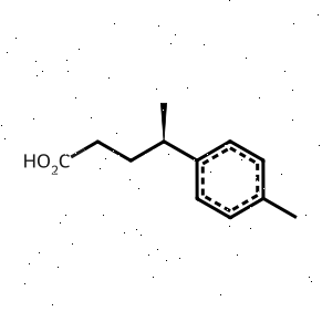 Cc1ccc([C@H](C)CCC(=O)O)cc1